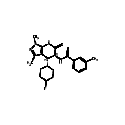 Cc1cccc(C(=O)N[C@@H]2C(=O)Nc3c(c(C)nn3C)[C@H]2C2CCC(F)CC2)c1